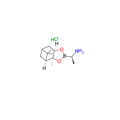 C[C@H](N)B1O[C@@H]2CC3C[C@@H](C3(C)C)[C@]2(C)O1.Cl